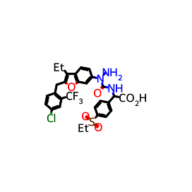 CCc1c(Cc2ccc(Cl)cc2C(F)(F)F)oc2cc(N(N)C(=O)NC(C(=O)O)c3ccc(S(=O)(=O)CC)cc3)ccc12